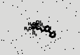 CC(C)(C)C(CCCc1ccnc(-c2ccccn2)c1)C(C)(C)C